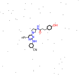 CCCc1cc(N2CC[C@H](NC(=O)CCc3ccc(O)cc3)C2)nc(Nc2cccc(C#N)c2)n1